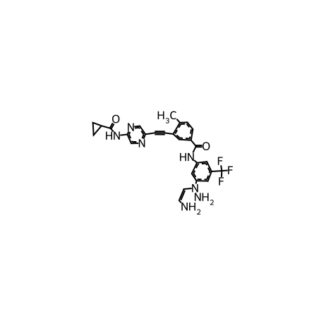 Cc1ccc(C(=O)Nc2cc(N(N)/C=C\N)cc(C(F)(F)F)c2)cc1C#Cc1cnc(NC(=O)C2CC2)cn1